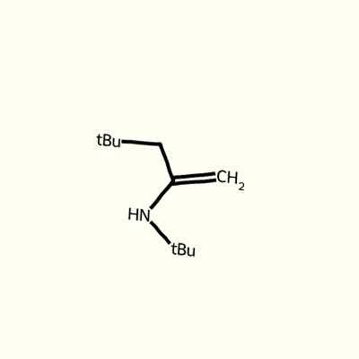 C=C(CC(C)(C)C)NC(C)(C)C